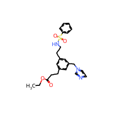 CCOC(=O)CCc1cc(CCNS(=O)(=O)c2ccccc2)cc(Cn2ccnc2)c1